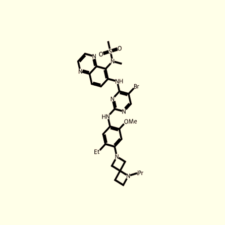 CCc1cc(Nc2ncc(Br)c(Nc3ccc4nccnc4c3N(C)S(C)(=O)=O)n2)c(OC)cc1N1CC2(CCN2C(C)C)C1